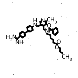 CCCCOC(=O)CCCCCNCc1c(CNc2ccc(-c3ccc(C(=N)N)cc3)cc2)cnc(C)c1OCc1ccccc1